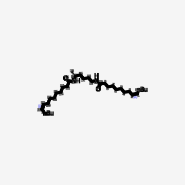 CCCC/C=C\CCCCCCCC(=O)NCCCC[C@@H](C)NC(=O)CCCCCCC/C=C\CCCC